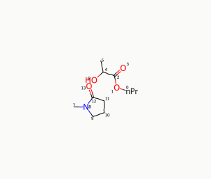 CCCOC(=O)C(C)O.CN1CCCC1=O